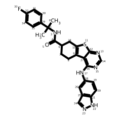 CC(C)(NC(=O)C1CCc2c(sc3ncnc(Nc4ccc5[nH]ncc5c4)c23)C1)c1ccc(F)cc1